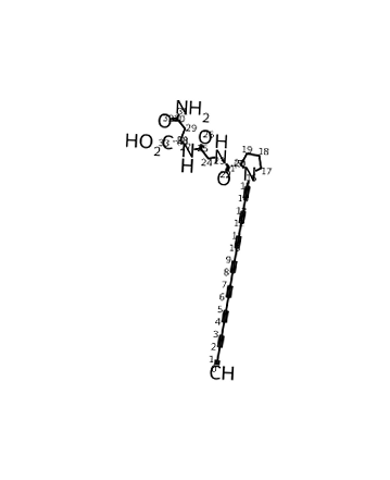 C#CC#CC#CC#CC#CC#CC#CC#CN1CCC[C@H]1C(=O)NCC(=O)N[C@@H](CC(N)=O)C(=O)O